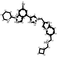 Brc1cc(-c2cn(Cc3cn4cc(CNCC5CCC5)ccc4n3)nn2)c2cnn(C3CCCCO3)c2c1